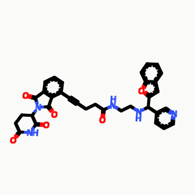 O=C(CCC#Cc1cccc2c1C(=O)N(C1CCC(=O)NC1=O)C2=O)NCCNC(c1cccnc1)c1cc2ccccc2o1